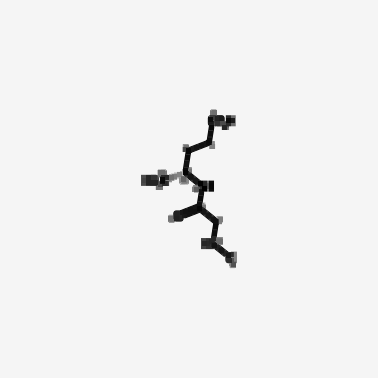 O=C(O)CC[C@H](NC(=O)CNCl)C(=O)O